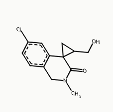 CN1Cc2ccc(Cl)cc2C2(CC2CO)C1=O